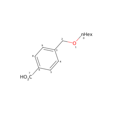 CCCCCCOCc1ccc(C(=O)O)cc1